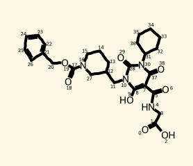 O=C(O)CNC(=O)c1c(O)n(CC2CCCN(C(=O)OCc3ccccc3)C2)c(=O)n(C2CCCCC2)c1=O